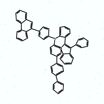 c1ccc(-c2ccc(-c3ccc(N(c4ccc(-c5cc6ccccc6c6ccccc56)cc4)c4ccccc4-c4oc5ccccc5c4-c4ccccc4)cc3)cc2)cc1